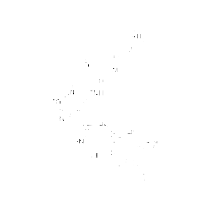 NCCNC(=O)Nc1nonc1/C(=N/O)Nc1ccc(F)c(Br)c1